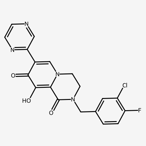 O=C1c2c(O)c(=O)c(-c3cnccn3)cn2CCN1Cc1ccc(F)c(Cl)c1